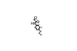 CCCc1ccc(NC(=O)CCl)cc1